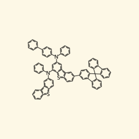 c1ccc(-c2ccc(N(c3ccccc3)c3cc(N(c4ccccc4)c4ccc5sc6ccccc6c5c4)c4sc5ccc(-c6ccc7c(c6)-c6ccccc6C76c7ccccc7-c7ccccc76)cc5c4c3)cc2)cc1